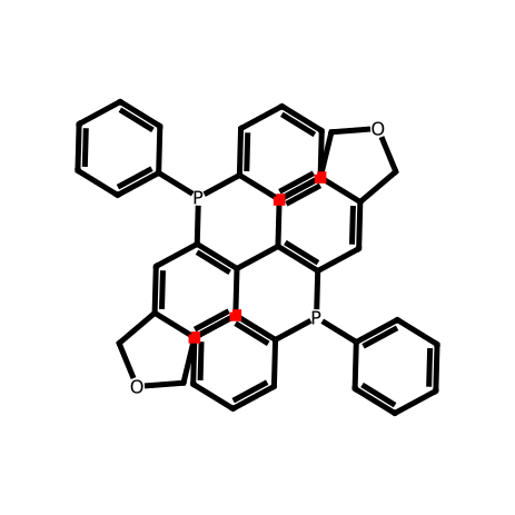 c1ccc(P(c2ccccc2)c2cc3c(cc2-c2cc4c(cc2P(c2ccccc2)c2ccccc2)COC4)COC3)cc1